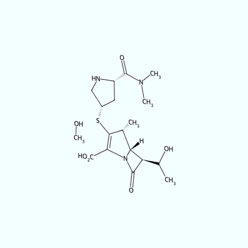 CC(O)[C@H]1C(=O)N2C(C(=O)O)=C(S[C@@H]3CN[C@H](C(=O)N(C)C)C3)[C@H](C)[C@H]12.CO